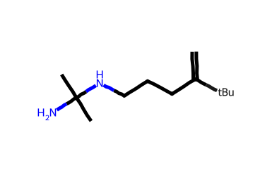 C=C(CCCNC(C)(C)N)C(C)(C)C